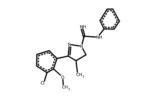 COc1c(Cl)cccc1C1=NN(C(=N)Nc2ccccc2)CC1C